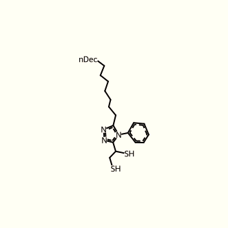 CCCCCCCCCCCCCCCCCc1nnc(C(S)CS)n1-c1ccccc1